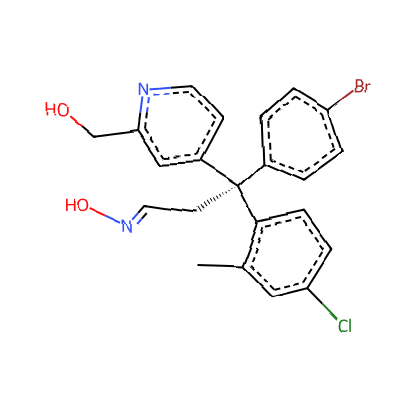 Cc1cc(Cl)ccc1[C@](C/C=N/O)(c1ccc(Br)cc1)c1ccnc(CO)c1